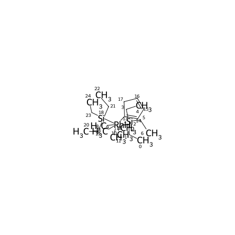 CC[Si](CC)(CC)[RhH2]([CH3])([CH3])([CH3])([CH3])([CH3])([C]1=CC=CC1)[Si](CC)(CC)CC